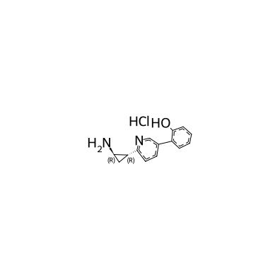 Cl.N[C@@H]1C[C@H]1c1ccc(-c2ccccc2O)cn1